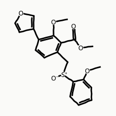 COC(=O)c1c(C[S+]([O-])c2ccccc2OC)ccc(-c2ccoc2)c1OC